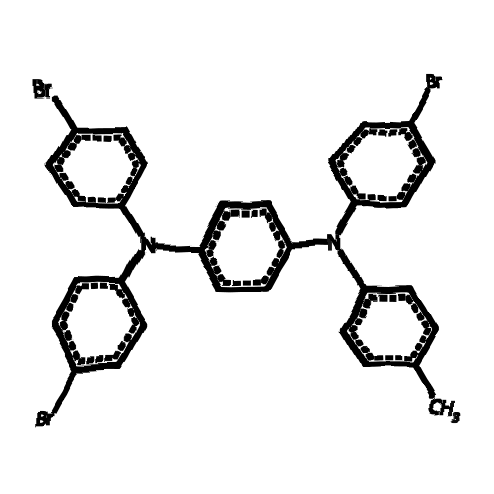 Cc1ccc(N(c2ccc(Br)cc2)c2ccc(N(c3ccc(Br)cc3)c3ccc(Br)cc3)cc2)cc1